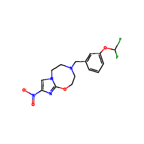 O=[N+]([O-])c1cn2c(n1)OCCN(Cc1cccc(OC(F)F)c1)CC2